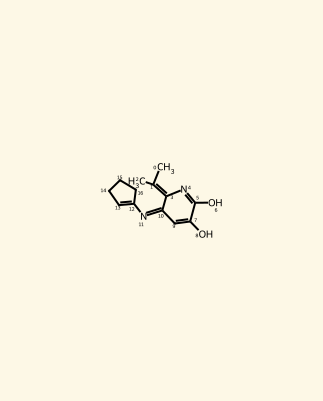 CC(C)=C1N=C(O)C(O)=C/C1=N/C1=CCCC1